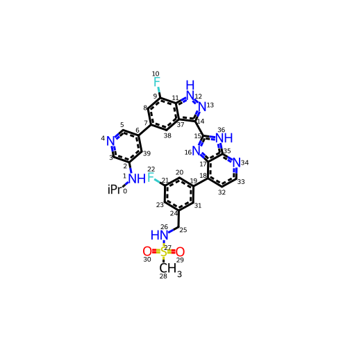 CC(C)Nc1cncc(-c2cc(F)c3[nH]nc(-c4nc5c(-c6cc(F)cc(CNS(C)(=O)=O)c6)ccnc5[nH]4)c3c2)c1